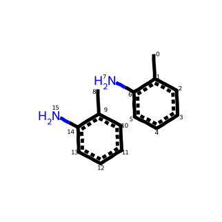 Cc1ccccc1N.Cc1ccccc1N